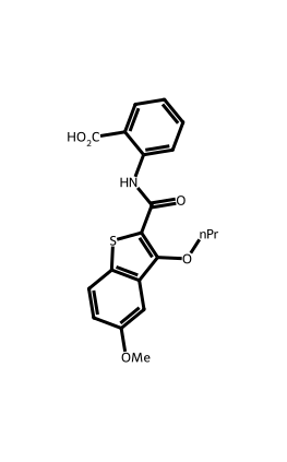 CCCOc1c(C(=O)Nc2ccccc2C(=O)O)sc2ccc(OC)cc12